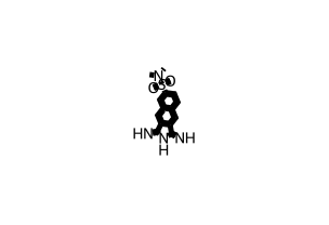 CN(C)S(=O)(=O)c1ccc2cc3c(cc2c1)C(=N)NC3=N